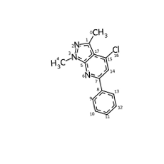 Cc1nn(C)c2nc(-c3ccccc3)cc(Cl)c12